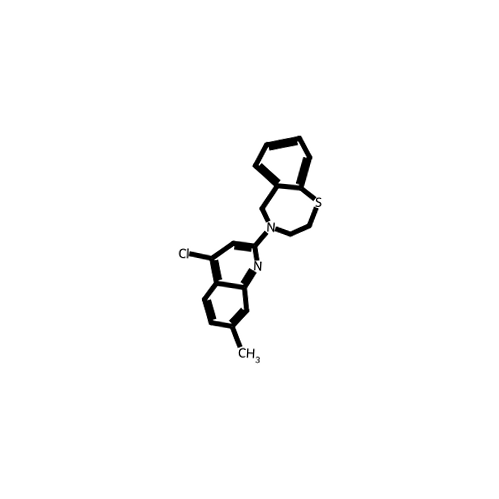 Cc1ccc2c(Cl)cc(N3CCSc4ccccc4C3)nc2c1